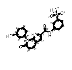 NS(=O)(=O)c1cccc(NC(=O)c2cc3ccc(=O)n(-c4cccc(O)c4)c3[nH]2)c1